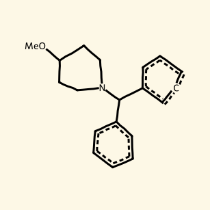 COC1CCN(C(c2ccccc2)c2ccccc2)CC1